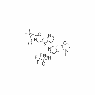 Cc1cc(C#N)nc(-c2ccnc3cc(CN4C(=O)C5C(C4=O)C5(C)C)sc23)c1CC1CNCCO1.O=C(O)C(F)(F)F